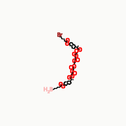 BCCCCCC(=O)Oc1ccc2cc(C(C)C(=O)OCC(=O)OCC(=O)OCCOC(=O)COC(=O)COC(=O)C(C)c3ccc4cc(OC(=O)CCCCCBr)ccc4c3)ccc2c1